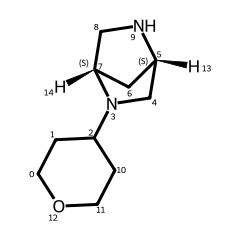 C1CC(N2C[C@@H]3C[C@H]2CN3)CCO1